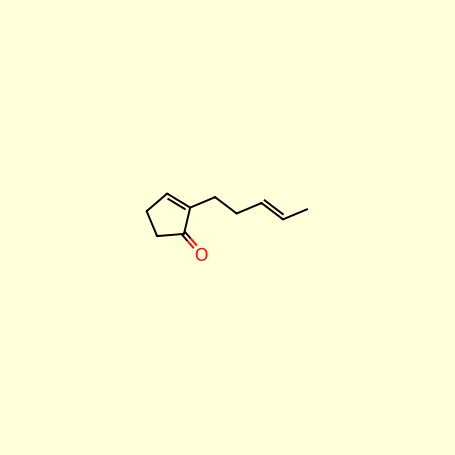 CC=CCCC1=CCCC1=O